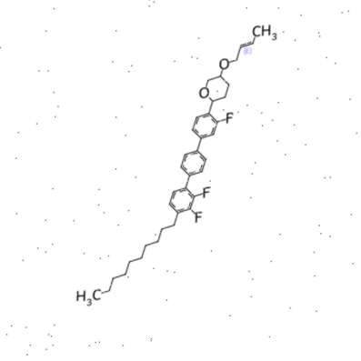 C/C=C/COC1CCC(c2ccc(-c3ccc(-c4ccc(CCCCCCCCCC)c(F)c4F)cc3)cc2F)OC1